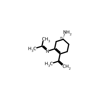 C=C(C)C1=C(N=C(C)C)C[C@H](N)CC1